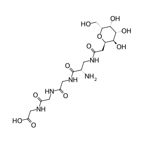 N[C@@H](CNC(=O)C[C@H]1O[C@H](CO)[C@H](O)[C@H](O)[C@H]1O)C(=O)NCC(=O)NCC(=O)NCC(=O)O